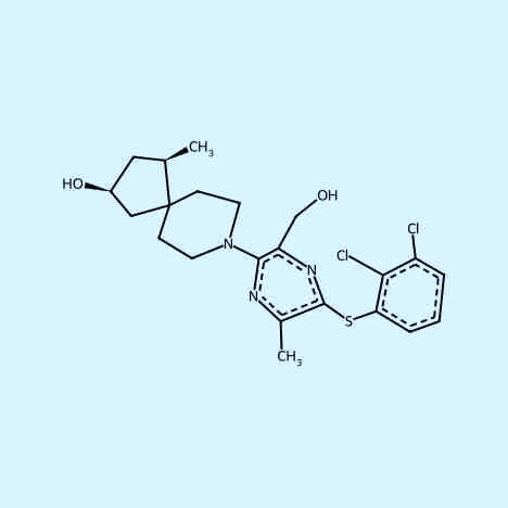 Cc1nc(N2CCC3(CC2)C[C@@H](O)C[C@H]3C)c(CO)nc1Sc1cccc(Cl)c1Cl